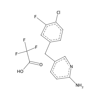 Nc1ccc(Cc2ccc(Cl)c(F)c2)cn1.O=C(O)C(F)(F)F